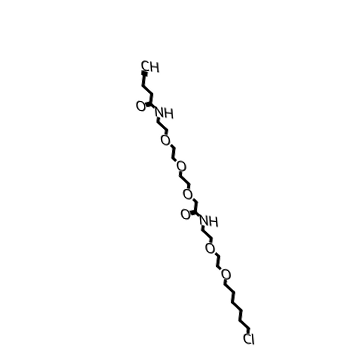 C#CCCC(=O)NCCOCCOCCOCC(=O)NCCOCCOCCCCCCCl